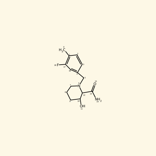 Cc1ccc(CN2CCCC(O)C2C(N)=O)cc1F